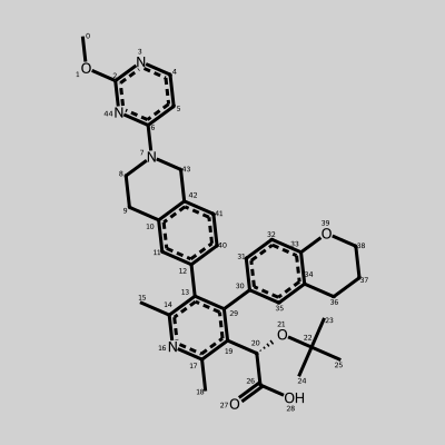 COc1nccc(N2CCc3cc(-c4c(C)nc(C)c([C@H](OC(C)(C)C)C(=O)O)c4-c4ccc5c(c4)CCCO5)ccc3C2)n1